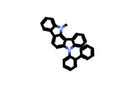 Cn1c2ccccc2c2ccc3c(c4ccccc4n3-c3ccccc3-c3ccccc3)c21